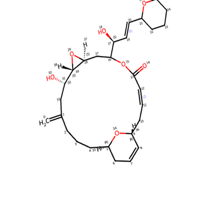 C=C1CCC[C@@H]2CC=C[C@@H](C/C=C\C(=O)OC([C@@H](O)/C=C/C3CCCCO3)C[C@@H]3O[C@H]3[C@@H](O)C1)O2